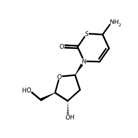 NC1C=CN([C@H]2C[C@H](O)[C@@H](CO)O2)C(=O)S1